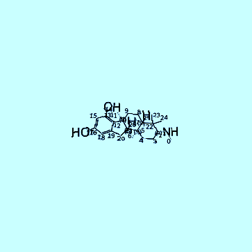 CN[C@@H]1CC[C@]2(C)[C@H](CC[C@]3(C)c4c(O)cc(O)cc4C[C@@H]23)C1(C)C